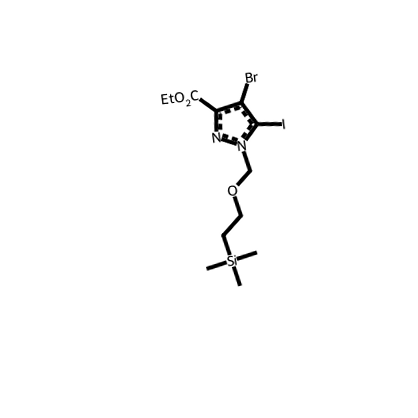 CCOC(=O)c1nn(COCC[Si](C)(C)C)c(I)c1Br